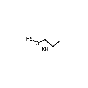 [CH2]CCOS.[KH]